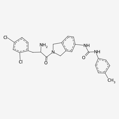 Cc1ccc(NC(=O)Nc2ccc3c(c2)CN(C(=O)C(N)Cc2ccc(Cl)cc2Cl)C3)cc1